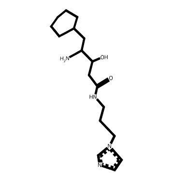 NC(CC1CCCCC1)C(O)CC(=O)NCCCn1ccnc1